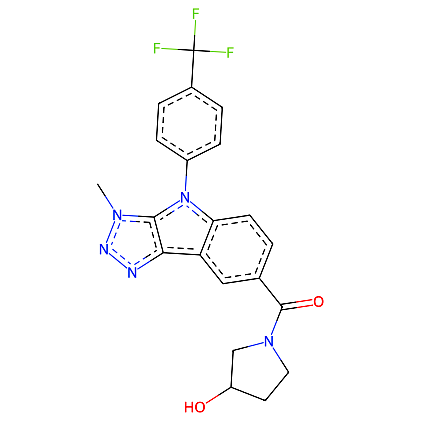 Cn1nnc2c3cc(C(=O)N4CCC(O)C4)ccc3n(-c3ccc(C(F)(F)F)cc3)c21